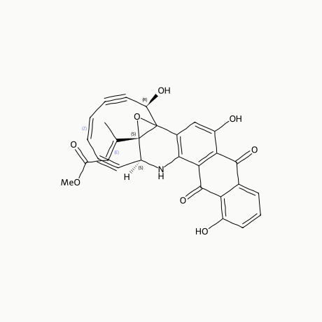 COC(=O)/C=C(\C)[C@@]12OC13c1cc(O)c4c(c1N[C@H]2C#C/C=C\C#C[C@H]3O)C(=O)c1c(O)cccc1C4=O